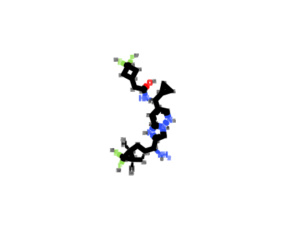 N[C@H](c1cn2ncc([C@H](NC(=O)CC3CC(F)(F)C3)C3CC3)cc2n1)[C@@H]1C[C@@H]2[C@H](C1)C2(F)F